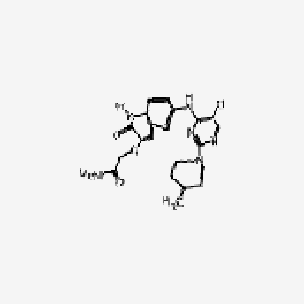 CNC(=O)COc1cc2cc(Nc3nc(N4CCC(C)CC4)ncc3Cl)ccc2n(C(C)C)c1=O